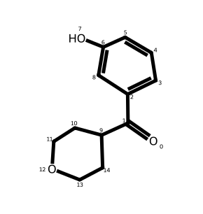 O=C(c1cccc(O)c1)C1CCOCC1